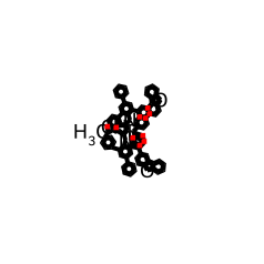 CC1(C)c2ccc(cc2)-c2cc(-c3ccccc3)cc(-c3ccccc3)c2N2c3cc(-c4ccc5oc6ccccc6c5c4)ccc3B3c4ccc(-c5ccc6oc7ccccc7c6c5)cc4N(c4c(-c5ccccc5)cc(-c5ccccc5)cc4-c4ccccc4)c4cc1cc2c43